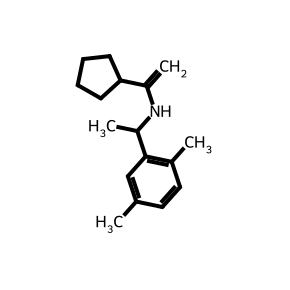 C=C(NC(C)c1cc(C)ccc1C)C1CCCC1